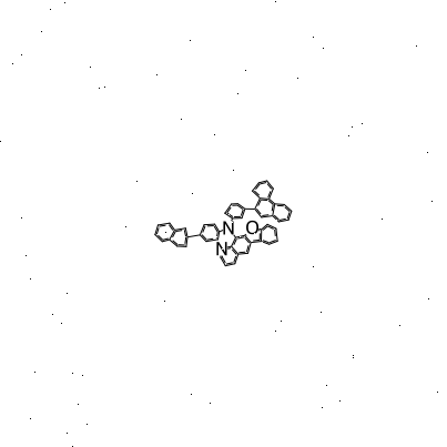 c1cc(-c2cc3ccccc3c3ccccc23)cc(N(c2ccc(-c3ccc4ccccc4c3)cc2)c2c3ncccc3cc3c2oc2ccccc23)c1